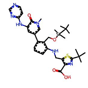 Cn1cc(-c2cccc(NCc3sc(C(C)(C)C)nc3C(=O)O)c2CO[Si](C)(C)C(C)(C)C)cc(Nc2ccncn2)c1=O